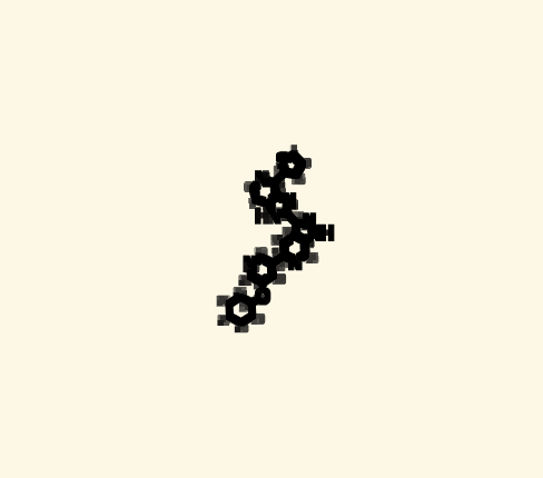 c1csc(-c2nccc3[nH]c(-c4n[nH]c5cnc(-c6cncc(OC7CCCCC7)c6)cc45)nc23)c1